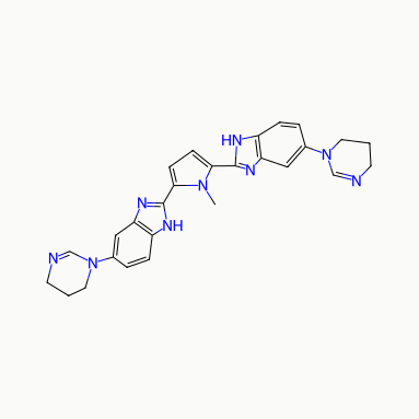 Cn1c(-c2nc3cc(N4C=NCCC4)ccc3[nH]2)ccc1-c1nc2cc(N3C=NCCC3)ccc2[nH]1